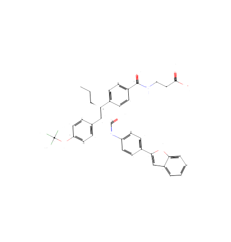 CCC[C@@H](c1ccc(C(=O)NCCC(=O)O)cc1)[C@H](C(=O)Nc1ccc(-c2cc3ccccc3o2)cc1)c1ccc(OC(F)(F)F)cc1